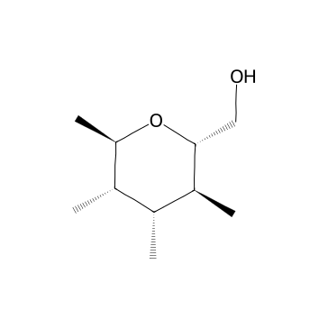 C[C@@H]1[C@H](C)[C@@H](C)O[C@H](CO)[C@H]1C